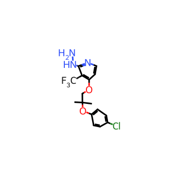 CC(C)(COc1ccnc(NN)c1C(F)(F)F)Oc1ccc(Cl)cc1